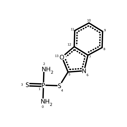 NP(N)(=S)Sc1nc2ccccc2o1